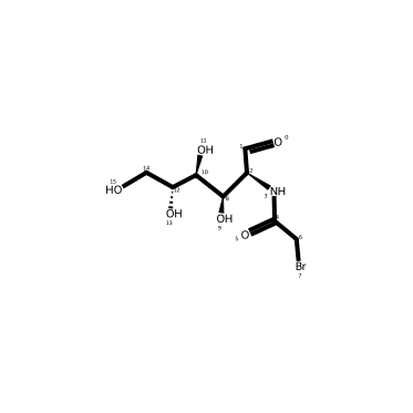 O=C[C@@H](NC(=O)CBr)[C@@H](O)[C@H](O)[C@H](O)CO